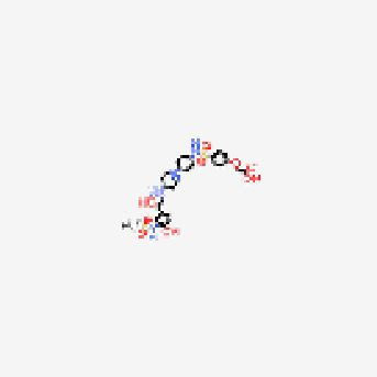 CS(=O)(=O)Nc1cc([C@H](O)CNC2CCN(c3ccc(NS(=O)(=O)c4ccc(OCC(=O)O)cc4)cc3)CC2)ccc1O